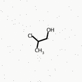 CC(Cl)[CH]O